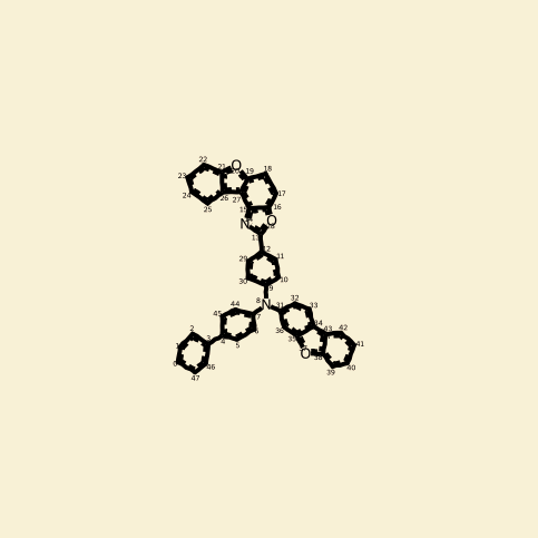 c1ccc(-c2ccc(N(c3ccc(-c4nc5c(ccc6oc7ccccc7c65)o4)cc3)c3ccc4c(c3)oc3ccccc34)cc2)cc1